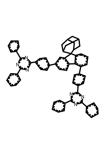 c1ccc(-c2nc(-c3ccccc3)nc(-c3ccc(-c4ccc5c(c4)C4(c6cccc(-c7ccc(-c8nc(-c9ccccc9)nc(-c9ccccc9)n8)cc7)c6-5)C5CC6CC(C5)CC4C6)cc3)n2)cc1